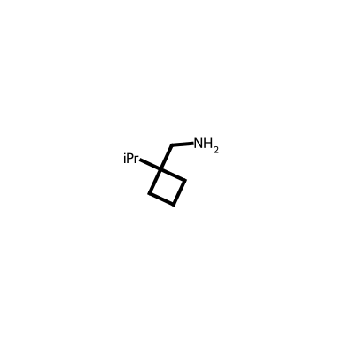 CC(C)C1(CN)CCC1